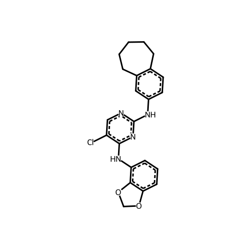 Clc1cnc(Nc2ccc3c(c2)CCCCC3)nc1Nc1cccc2c1OCO2